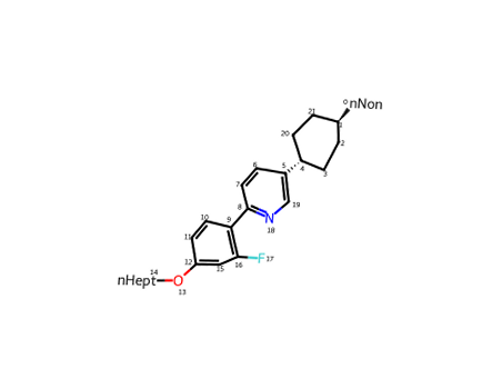 CCCCCCCCC[C@H]1CC[C@H](c2ccc(-c3ccc(OCCCCCCC)cc3F)nc2)CC1